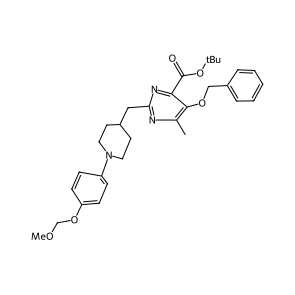 COCOc1ccc(N2CCC(Cc3nc(C)c(OCc4ccccc4)c(C(=O)OC(C)(C)C)n3)CC2)cc1